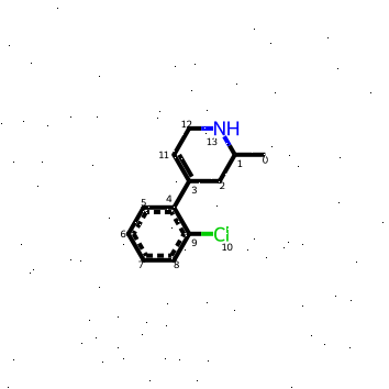 CC1CC(c2ccccc2Cl)=CCN1